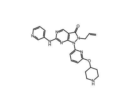 C=CCn1c(=O)c2cnc(Nc3cccnc3)nc2n1-c1cccc(OC2CCNCC2)n1